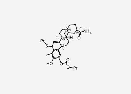 Cc1c(O)c(OC(=O)OC(C)C)cc2c1C(SC(C)C)C=C1[C@@]2(C)CC[C@@]2(C)[C@@H]3C[C@](C)(C(N)=O)CC[C@]3(C)CC[C@]12C